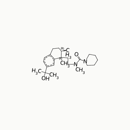 C[C@@H]1CCc2ccc(C(C)(C)O)cc2[C@]1(C)CCN(C)C(=O)N1CCCCC1